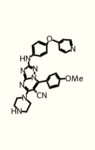 COc1ccc(-c2c(C#N)c(N3CCNCC3)nc3nc(Nc4ccc(Oc5ccncc5)cc4)nn23)cc1